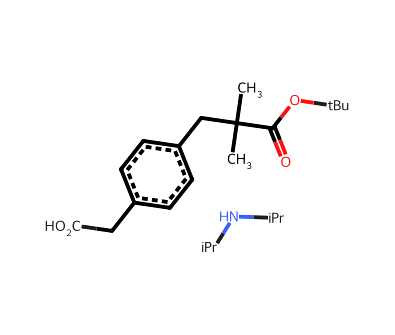 CC(C)(C)OC(=O)C(C)(C)Cc1ccc(CC(=O)O)cc1.CC(C)NC(C)C